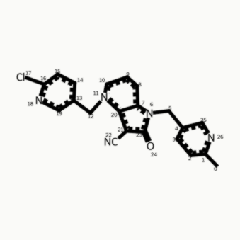 Cc1ccc(Cn2c3cccn(Cc4ccc(Cl)nc4)c-3c(C#N)c2=O)cn1